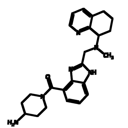 CN(Cc1nc2c(C(=O)N3CCC(N)CC3)cccc2[nH]1)C1CCCc2cccnc21